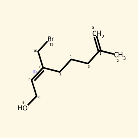 C=C(C)CCC/C(=C\CO)CBr